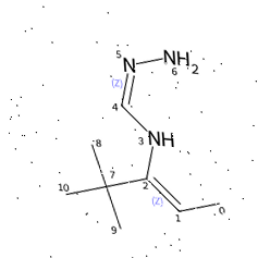 C/C=C(\N/C=N\N)C(C)(C)C